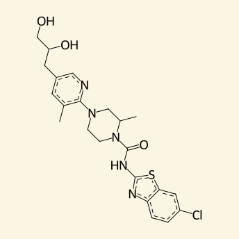 Cc1cc(CC(O)CO)cnc1N1CCN(C(=O)Nc2nc3ccc(Cl)cc3s2)C(C)C1